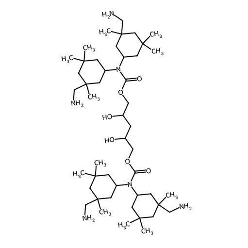 CC1(C)CC(N(C(=O)OCC(O)CC(O)COC(=O)N(C2CC(C)(C)CC(C)(CN)C2)C2CC(C)(C)CC(C)(CN)C2)C2CC(C)(C)CC(C)(CN)C2)CC(C)(CN)C1